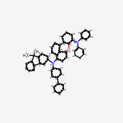 CC1(C)c2ccccc2-c2cc(N(c3ccc(-c4ccccc4)cc3)c3ccc4c5c(cccc35)-c3cccc(N(C5=CCCC=C5)c5ccccc5)c3O4)ccc21